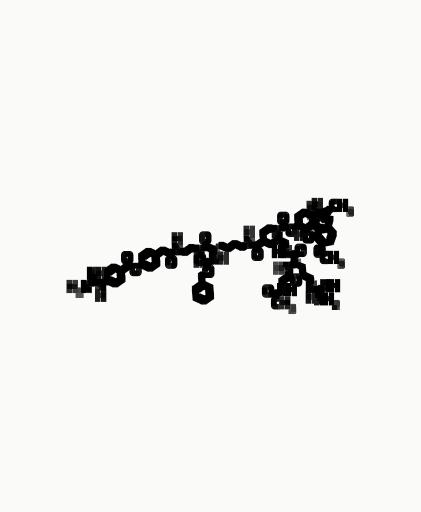 COc1ccc2c3c1O[C@H]1C(OC(=O)N4CCC(C(=O)NCCCC[C@H](NC(=O)OCc5ccccc5)C(=O)NCCNC(=O)Cc5ccc(OC(=O)c6ccc(NC(=N)N)cc6)cc5)CC4CNC(=O)[C@@H](CCCNC(=N)N)NC(=O)CNC(C)=O)=CC[C@H]4[C@@H]5C(C)C5(C2)C[C@]314